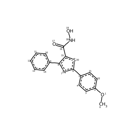 COc1ccc(-c2nc(-c3ccccc3)c(C(=O)NO)s2)cc1